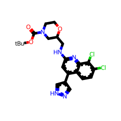 CC(C)(C)OC(=O)N1CCOC(CNc2cc(-c3cn[nH]c3)c3ccc(Cl)c(Cl)c3n2)C1